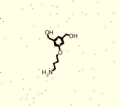 NCCCCOc1cc(CO)cc(CO)c1